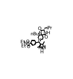 CCCCN1C(=O)[C@H](CC(C)C)NC(=O)C12CCN(C(c1ccc(S(=O)(=O)N(CC)CC)cc1)c1c(C)n[nH]c1C)CC2.Cl